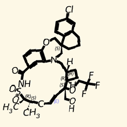 C[C@@H]1[C@@H](C)C/C=C/[C@@](CO)(OCC(F)(F)F)[C@@H]2CC[C@H]2CN2C[C@@]3(CCCc4cc(Cl)ccc43)COc3ccc(cc32)C(=O)NS1(=O)=O